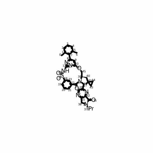 Cc1cccc(C)c1-c1cc2nc(n1)NS(=O)(=O)c1cccc(c1)C(=O)N(Cc1cnc3c(n1)C(=O)N(C(C)C)C3)[C@H](CC1(C)CC1)CO2